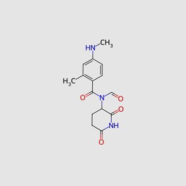 CNc1ccc(C(=O)N(C=O)C2CCC(=O)NC2=O)c(C)c1